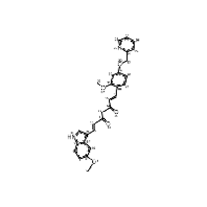 COc1ccc2[nH]cc(/C=C/C(=O)CC(=O)/C=C/c3ccc(OCc4ccccn4)cc3OC)c2c1